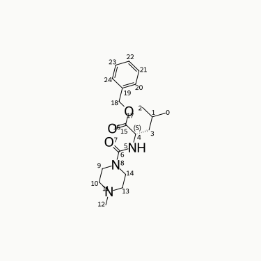 CC(C)C[C@H](NC(=O)N1CCN(C)CC1)C(=O)OCc1ccccc1